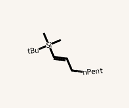 CCCCCCC=C[Si](C)(C)C(C)(C)C